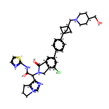 O=C(Nc1nccs1)C(c1ncn2c1CCC2)N1Cc2c(Cl)cc(-c3ccc(C45CC(CN6CCC(CO)CC6)(C4)C5)cc3)cc2C1=O